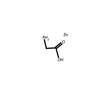 O=C(O)CP.[Zn]